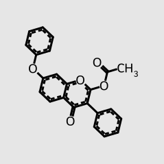 CC(=O)Oc1oc2cc(Oc3ccccc3)ccc2c(=O)c1-c1ccccc1